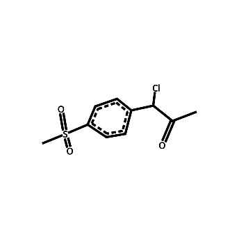 CC(=O)C(Cl)c1ccc(S(C)(=O)=O)cc1